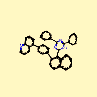 c1ccc(C2=NC(c3c(-c4ccc(-c5cccc6ncccc56)cc4)ccc4ccccc34)NC(c3ccccc3)=N2)cc1